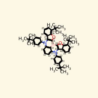 CC(C)(C)c1ccc(N2c3cccc4c3B(c3oc5c(C(C)(C)C)cccc5c32)c2oc3c(C(C)(C)C)cccc3c2N4c2ccc(C(C)(C)C)cc2)cc1